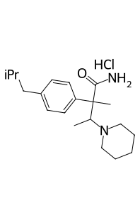 CC(C)Cc1ccc(C(C)(C(N)=O)C(C)N2CCCCC2)cc1.Cl